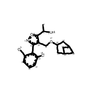 CC(O)c1onc(-c2c(Cl)cccc2Cl)c1COC1CC2CC(C2)C1